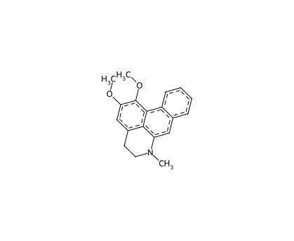 COc1cc2c3c(cc4ccccc4c3c1OC)N(C)CC2